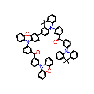 CC1(C)c2ccccc2N(c2cccc(C(=O)c3cccc(N4c5ccccc5C(C)(C)c5cc(-c6ccc7c(c6)Oc6ccccc6N7c6cccc(C(=O)c7cccc(N8c9ccccc9Oc9ccccc98)c7)c6)ccc54)c3)c2)c2ccccc21